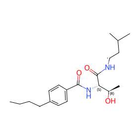 CCCCc1ccc(C(=O)N[C@H](C(=O)N[CH]CC(C)C)[C@@H](C)O)cc1